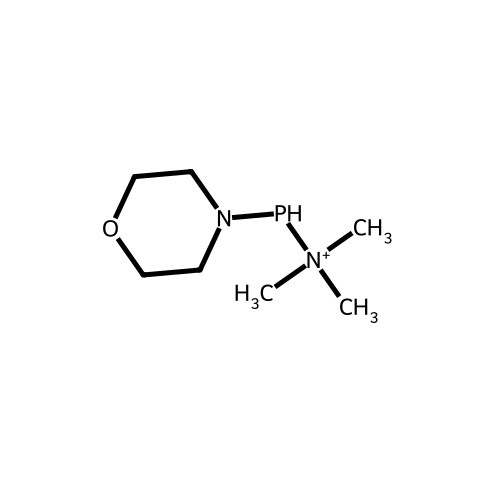 C[N+](C)(C)PN1CCOCC1